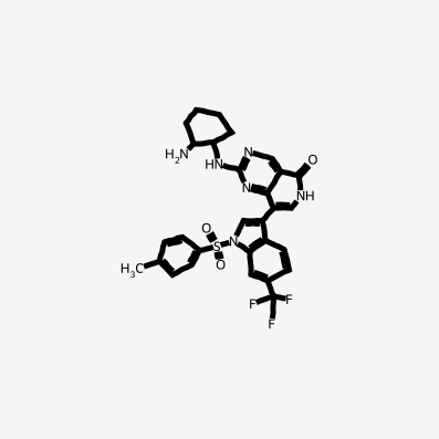 Cc1ccc(S(=O)(=O)n2cc(-c3c[nH]c(=O)c4cnc(NC5CCCCC5N)nc34)c3ccc(C(F)(F)F)cc32)cc1